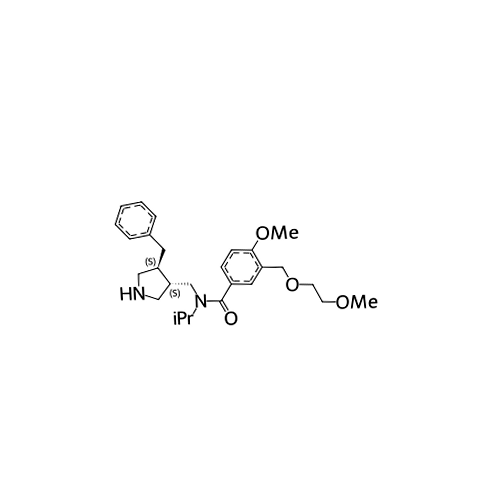 COCCOCc1cc(C(=O)N(C[C@@H]2CNC[C@H]2Cc2ccccc2)C(C)C)ccc1OC